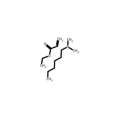 C=CC(=O)OCC.CCCCCCN(C)C